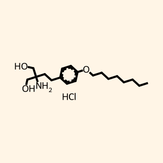 CCCCCCCCOc1ccc(CCC(N)(CO)CO)cc1.Cl